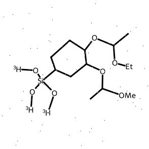 [3H]O[Si](O[3H])(O[3H])C1CCC(OC(C)OCC)C(OC(C)OC)C1